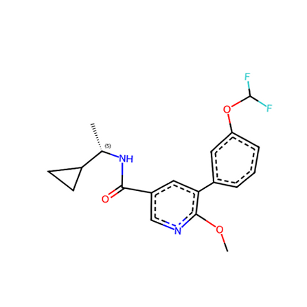 COc1ncc(C(=O)N[C@@H](C)C2CC2)cc1-c1cccc(OC(F)F)c1